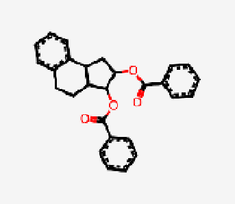 O=C(OC1CC2c3ccccc3CCC2C1OC(=O)c1ccccc1)c1ccccc1